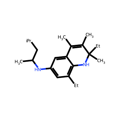 CCc1cc(NC(C)CC(C)C)cc2c1NC(C)(CC)C(C)=C2C